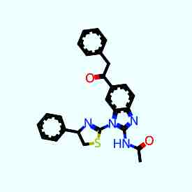 CC(=O)Nc1nc2ccc(C(=O)Cc3ccccc3)cc2n1C1=NC(c2ccccc2)CS1